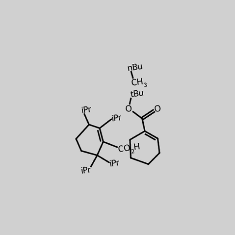 CC(C)(C)OC(=O)C1=CCCCC1.CC(C)C1=C(C(=O)O)C(C(C)C)(C(C)C)CCC1C(C)C.CCCCC